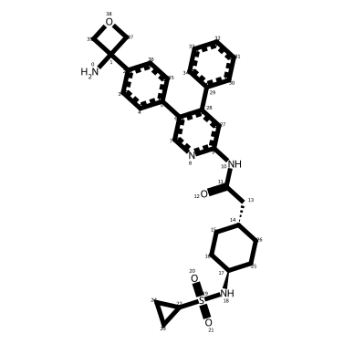 NC1(c2ccc(-c3cnc(NC(=O)C[C@H]4CC[C@H](NS(=O)(=O)C5CC5)CC4)cc3-c3ccccc3)cc2)COC1